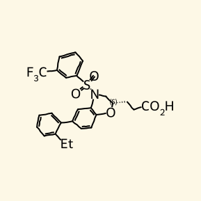 CCc1ccccc1-c1ccc2c(c1)N(S(=O)(=O)c1cccc(C(F)(F)F)c1)C[C@H](CCC(=O)O)O2